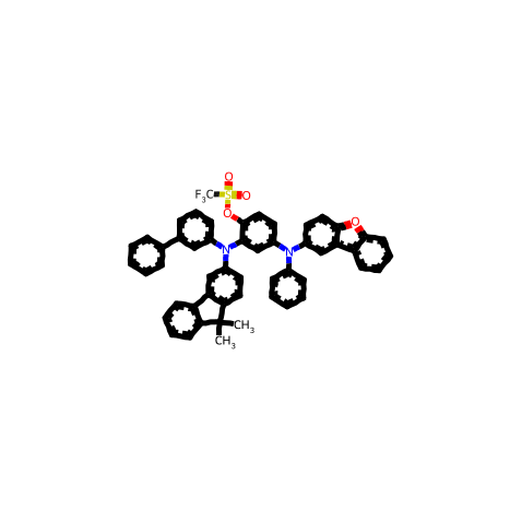 CC1(C)c2ccccc2-c2cc(N(c3cccc(-c4ccccc4)c3)c3cc(N(c4ccccc4)c4ccc5oc6ccccc6c5c4)ccc3OS(=O)(=O)C(F)(F)F)ccc21